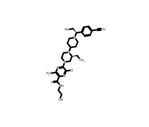 C#Cc1ccc([C@H](CO)N2CCC(N3CCN(c4nc(N)c(C(=O)NCCO)nc4Cl)C[C@@H]3CC)CC2)cc1